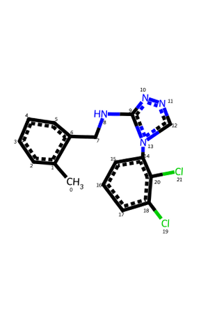 Cc1ccccc1CNc1nncn1-c1cccc(Cl)c1Cl